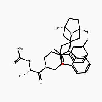 Cc1nc2ccccc2n1[C@H]1C[C@H]2CC[C@@H](C1)N2CCC1(c2cccc(F)c2)CCN(C(=O)[C@@H](NC(=O)C(C)(C)C)C(C)(C)C)CC1